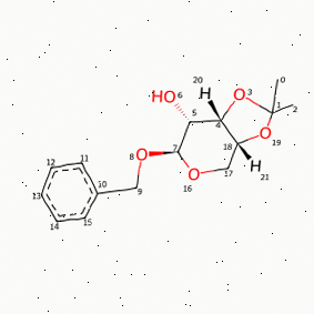 CC1(C)O[C@H]2[C@@H](O)[C@H](OCc3ccccc3)OC[C@H]2O1